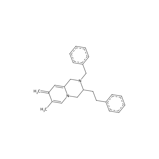 C=C1C=C2CN(Cc3ccccc3)C(CCc3ccccc3)CN2C=C1C